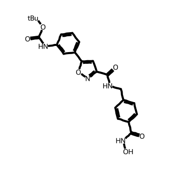 CC(C)(C)OC(=O)Nc1cccc(-c2cc(C(=O)NCc3ccc(C(=O)NO)cc3)no2)c1